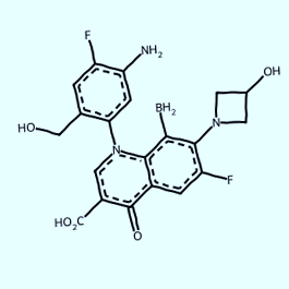 Bc1c(N2CC(O)C2)c(F)cc2c(=O)c(C(=O)O)cn(-c3cc(N)c(F)cc3CO)c12